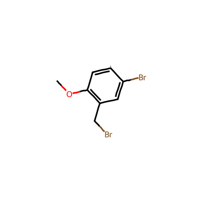 COc1c[c]c(Br)cc1CBr